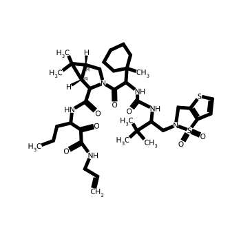 C=CCNC(=O)C(=O)C(CCC)NC(=O)C1[C@H]2[C@@H](CN1C(=O)C(NC(=O)NC(CN1Cc3sccc3S1(=O)=O)C(C)(C)C)C1(C)CCCCC1)C2(C)C